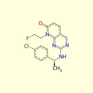 C[C@H](Nc1ncc2ccc(=O)n(CCF)c2n1)c1ccc(Cl)cc1